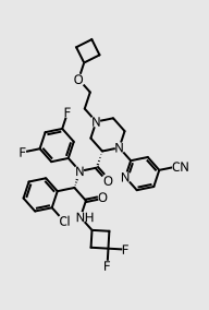 N#Cc1ccnc(N2CCN(CCOC3CCC3)C[C@H]2C(=O)N(c2cc(F)cc(F)c2)[C@H](C(=O)NC2CC(F)(F)C2)c2ccccc2Cl)c1